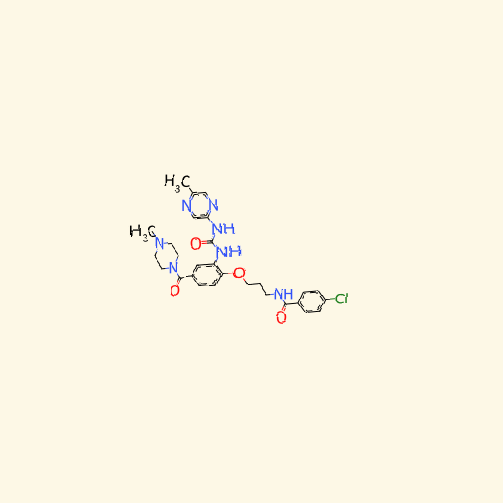 Cc1cnc(NC(=O)Nc2cc(C(=O)N3CCN(C)CC3)ccc2OCCCNC(=O)c2ccc(Cl)cc2)cn1